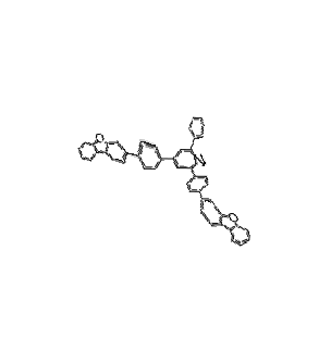 c1ccc(-c2cc(-c3ccc(-c4ccc5c(c4)oc4ccccc45)cc3)cc(-c3ccc(-c4ccc5c(c4)oc4ccccc45)cc3)n2)cc1